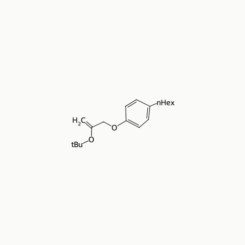 C=C(COc1ccc(CCCCCC)cc1)OC(C)(C)C